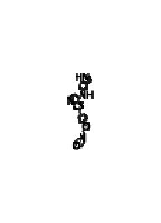 c1cc(Nc2ccc3[nH]ccc3c2)c2sc(-c3ccc(OCCN4CCOCC4)cc3)cc2n1